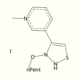 CCCCCON1NSC=C1c1ccc[n+](C)c1.[I-]